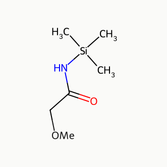 COCC(=O)N[Si](C)(C)C